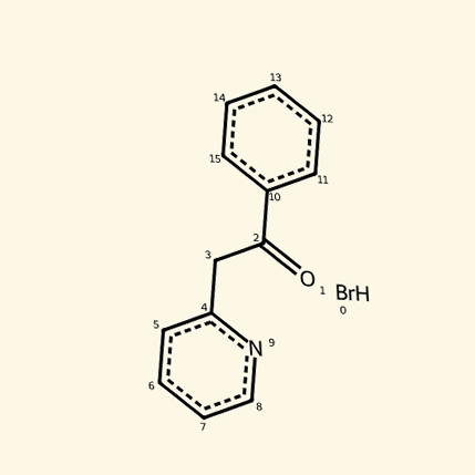 Br.O=C(Cc1ccccn1)c1ccccc1